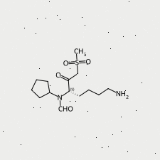 CS(=O)(=O)CC(=O)[C@H](CCCCN)N(C=O)C1CCCC1